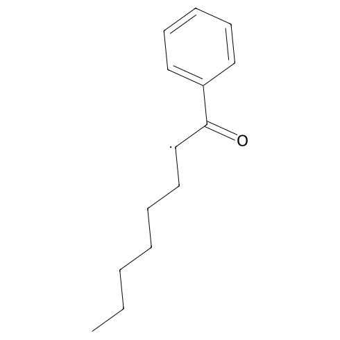 CCCCCC[CH]C(=O)c1ccccc1